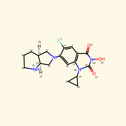 O=c1c2cc(F)c(N3C[C@@H]4CCCN[C@@H]4C3)cc2n(C2CC2)c(=O)n1O